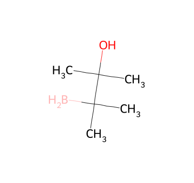 BC(C)(C)C(C)(C)O